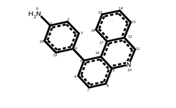 Nc1ccc(-c2cccc3ncc4ccccc4c23)cc1